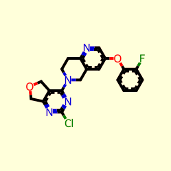 Fc1ccccc1Oc1cnc2c(c1)CN(c1nc(Cl)nc3c1COC3)CC2